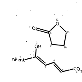 CCCCCC(O)=CC=CC(=O)O.O=C1CCCO1